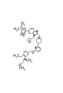 CCc1ccc(COc2cccc(C3CCN(Cc4nc5ccc(C(=O)OC(C)(C)C)cc5n4CC4CCO4)CC3)n2)cc1N(C)CCOC